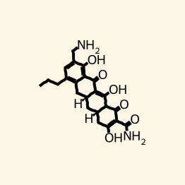 CCCc1cc(CN)c(O)c2c1C[C@H]1C[C@H]3CC(O)=C(C(N)=O)C(=O)C3C(O)=C1C2=O